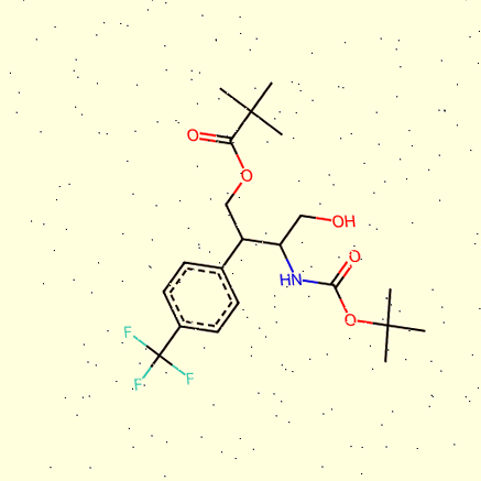 CC(C)(C)OC(=O)NC(CO)C(COC(=O)C(C)(C)C)c1ccc(C(F)(F)F)cc1